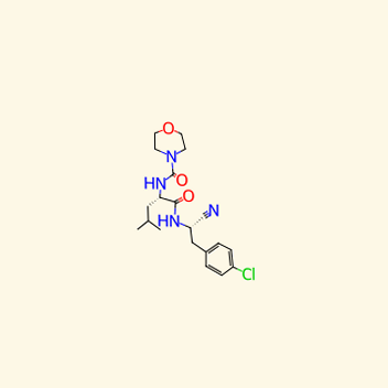 CC(C)C[C@H](NC(=O)N1CCOCC1)C(=O)N[C@H](C#N)Cc1ccc(Cl)cc1